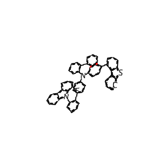 Fc1cccc2c3ccccc3n(-c3ccccc3-c3ccc(N(c4ccc(-c5cccc6sc7ccccc7c56)cc4)c4ccccc4-c4ccccc4)cc3)c12